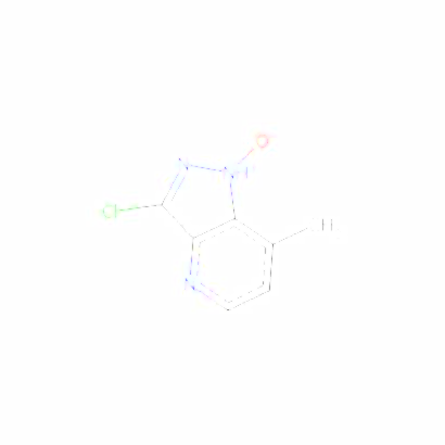 Cc1ccnc2c1[NH+]([O-])N=C2Cl